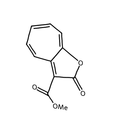 COC(=O)c1c2cccccc-2oc1=O